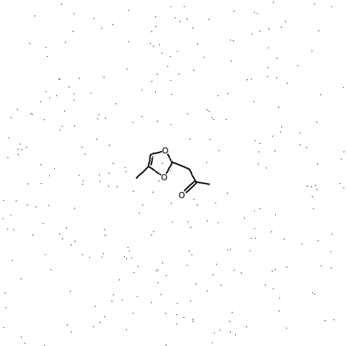 CC(=O)CC1OC=C(C)O1